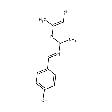 CCC=C(C)PN(C)/N=C/c1ccc(O)cc1